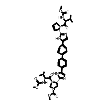 COC(=O)NC(C(=O)N1CC=C[C@H]1c1ncc(-c2ccc(-c3ccc(-c4cnc([C@@H]5CN(C(=O)OC)CN5C(=O)[C@@H](NC(=O)OC)C(C)C)[nH]4)cc3)cc2)[nH]1)C(C)C